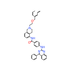 C=C/C=C(\C=C/C)COCCN1CCc2c(cccc2NC(=O)c2ccc(Nc3nc(-c4ccccc4)c4ccccc4n3)cc2)C1